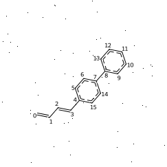 C=CC=Cc1ccc(-c2ccccc2)cc1